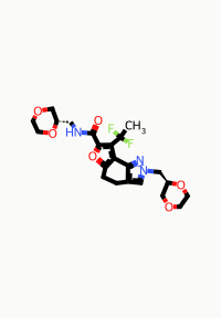 CC(F)(F)c1c(C(=O)NC[C@H]2COCCO2)oc2c1-c1nn(C[C@@H]3COCCO3)cc1CC2